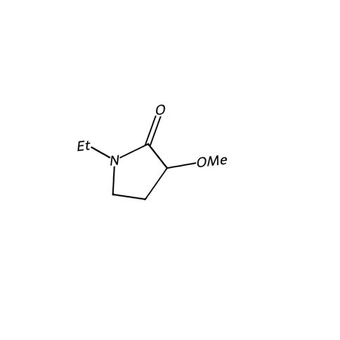 CCN1CCC(OC)C1=O